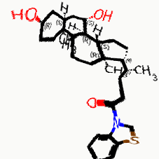 C[C@H](CCC(=O)N1CSc2ccccc21)[C@H]1CC[C@H]2[C@@H]3[C@@H](O)C[C@@H]4C[C@H](O)CC[C@]4(C)[C@H]3CC[C@]12C